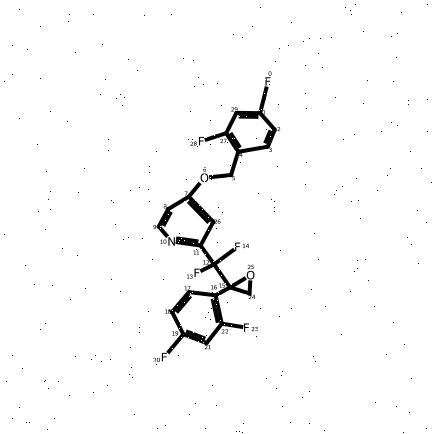 Fc1ccc(COc2ccnc(C(F)(F)C3(c4ccc(F)cc4F)CO3)c2)c(F)c1